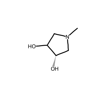 CN1CC(O)[C@@H](O)C1